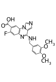 COc1ccc(CNc2nc3cc(F)c(C(=O)O)cc3n3cncc23)cc1OC